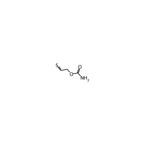 NC(=O)OCC=S